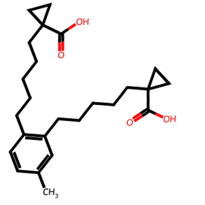 Cc1ccc(CCCCCC2(C(=O)O)CC2)c(CCCCCC2(C(=O)O)CC2)c1